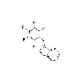 Fc1c(F)c(F)c(Cn2ccc3ccccc32)c(F)c1F